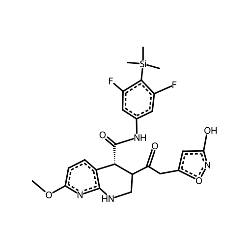 COc1ccc2c(n1)NCC(C(=O)Cc1cc(O)no1)[C@H]2C(=O)Nc1cc(F)c([Si](C)(C)C)c(F)c1